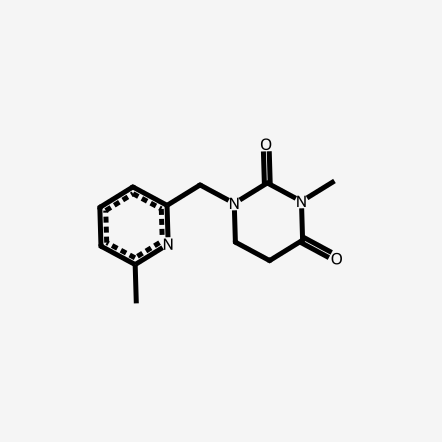 Cc1cccc(CN2CCC(=O)N(C)C2=O)n1